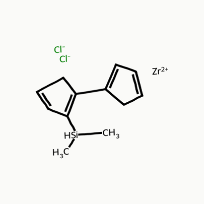 C[SiH](C)C1=C(C2=CC=CC2)CC=C1.[Cl-].[Cl-].[Zr+2]